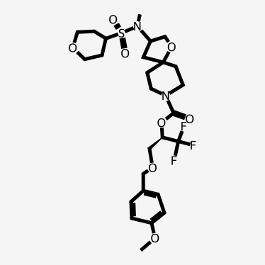 COc1ccc(COC[C@@H](OC(=O)N2CCC3(CC2)CC(N(C)S(=O)(=O)C2CCOCC2)CO3)C(F)(F)F)cc1